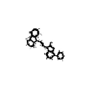 CC1=Cc2c(-c3ccccc3)cccc2C1C=CC1c2ccccc2-c2ccccc21